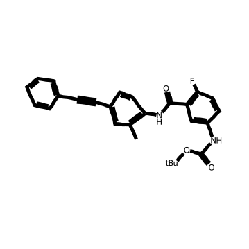 Cc1cc(C#Cc2ccccc2)ccc1NC(=O)c1cc(NC(=O)OC(C)(C)C)ccc1F